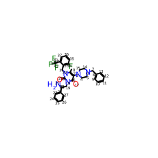 Cc1c(N2CCN(Cc3c[c]ccc3)CC2)c(=O)n(C[C@H](N)c2ccccc2)c(=O)n1Cc1c(F)cccc1C(F)(F)F